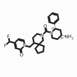 N[C@@H]1CCN(C(=O)N2CCC(Cn3ccc(C(F)F)cc3=O)C3(CCCC3)C2)[C@H](c2ccccc2)C1